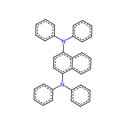 c1ccc(N(c2ccccc2)c2ccc(N(c3ccccc3)c3ccccc3)c3ccccc23)cc1